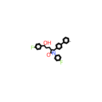 O=C1C(CC[C@H](O)c2ccc(F)cc2)C(c2ccc(-c3c[c]ccc3)cc2)N1c1ccc(F)cc1